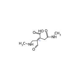 CNC/C(C=O)=C(/CC(=O)NC)C(=O)O